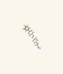 N#CC(F)=C[C@H]1CC[C@H](C=C[C@H]2CC[C@H](c3ccc(F)c(F)c3)CC2)CC1